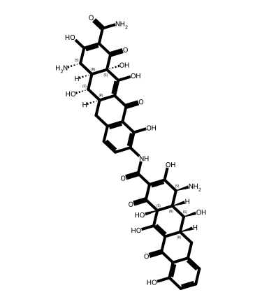 NC(=O)C1=C(O)[C@@H](N)[C@@H]2[C@@H](O)[C@@H]3Cc4ccc(NC(=O)C5=C(O)[C@@H](N)[C@@H]6[C@@H](O)[C@@H]7Cc8cccc(O)c8C(=O)C7=C(O)[C@]6(O)C5=O)c(O)c4C(=O)C3=C(O)[C@]2(O)C1=O